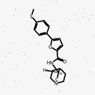 CSc1ccc(-c2ccc(C(=O)N[C@H]3CN4CCC3CC4)o2)cc1